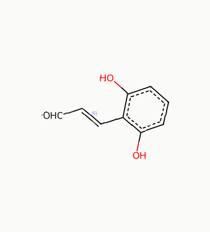 O=[C]/C=C/c1c(O)cccc1O